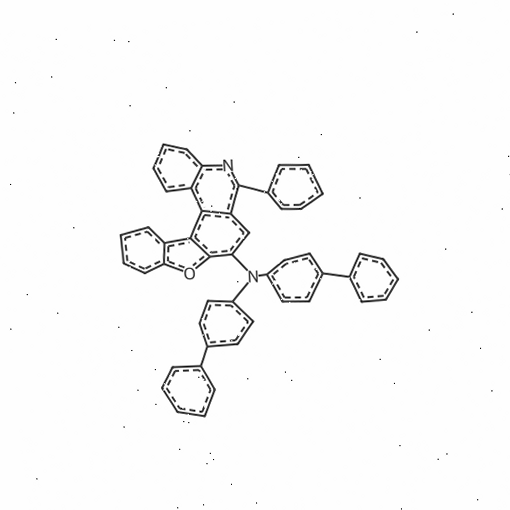 c1ccc(-c2ccc(N(c3ccc(-c4ccccc4)cc3)c3cc4c(-c5ccccc5)nc5ccccc5c4c4c3oc3ccccc34)cc2)cc1